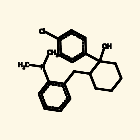 CN(C)c1ccccc1CC1CCCCC1(O)c1ccc(Cl)cc1